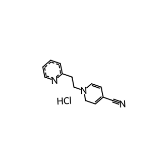 Cl.N#CC1=CCN(CCc2ccccn2)C=C1